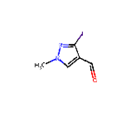 Cn1cc(C=O)c(I)n1